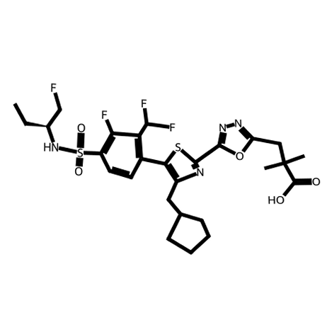 CC[C@@H](CF)NS(=O)(=O)c1ccc(-c2sc(-c3nnc(CC(C)(C)C(=O)O)o3)nc2CC2CCCC2)c(C(F)F)c1F